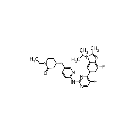 CCN1CC/C(=C/c2ccc(Nc3ncc(F)c(-c4cc(F)c5nc(C)n(C(C)C)c5c4)n3)nc2)CC1=O